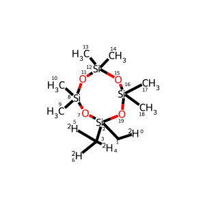 [2H]C[Si]1(C([2H])([2H])[2H])O[Si](C)(C)O[Si](C)(C)O[Si](C)(C)O1